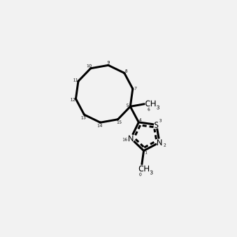 Cc1nsc(C2(C)CCCCCCCCC2)n1